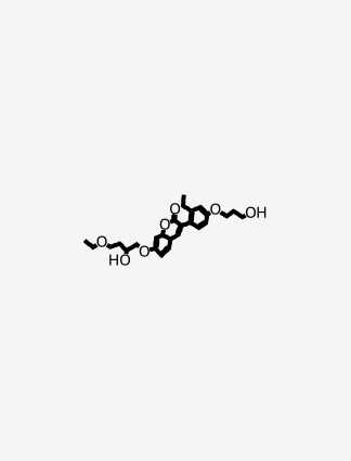 CCOCCC(O)COC1=CC2OC(=O)C(c3ccc(OCCCO)cc3CC)=CC2C=C1